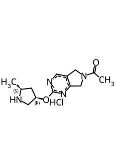 CC(=O)N1Cc2cnc(O[C@H]3CN[C@@H](C)C3)nc2C1.Cl